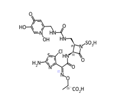 C[C@H](O/N=C(\C(=O)N[C@@H]1C(=O)N(S(=O)(=O)O)[C@@H]1CNC(=O)NCc1cc(=O)c(O)cn1O)c1nc(N)sc1Cl)C(=O)O